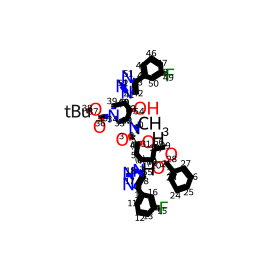 CN(C(=O)[C@H]1C[C@@H](n2cc(-c3cccc(F)c3)nn2)[C@H]2OC(c3ccccc3)OC[C@H]2O1)[C@@H]1CN(C(=O)OC(C)(C)C)C[C@H](n2cc(-c3cccc(F)c3)nn2)[C@H]1O